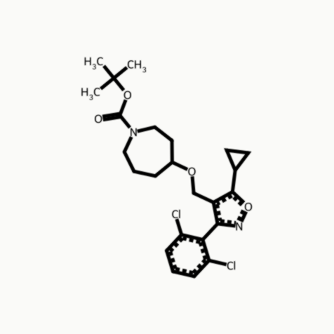 CC(C)(C)OC(=O)N1CCCC(OCc2c(-c3c(Cl)cccc3Cl)noc2C2CC2)CC1